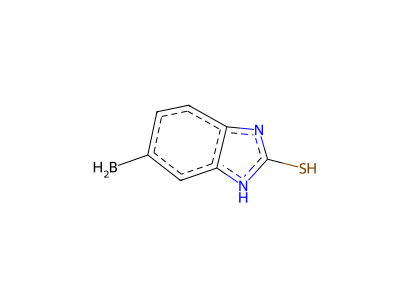 Bc1ccc2nc(S)[nH]c2c1